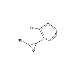 N#CC1OC1c1ccccc1Br